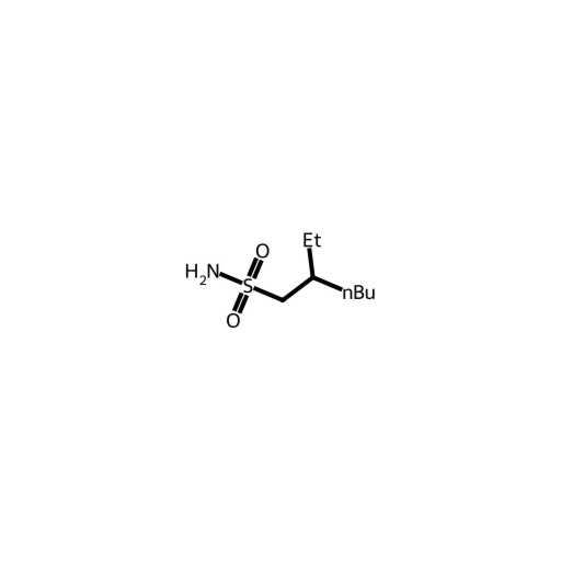 CCCCC(CC)CS(N)(=O)=O